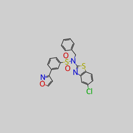 O=S(=O)(c1cccc(-c2ccon2)c1)N(Cc1ccccc1)c1nc2cc(Cl)ccc2s1